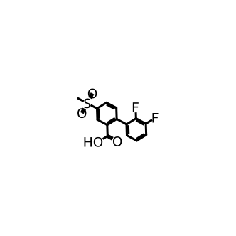 CS(=O)(=O)c1ccc(-c2cccc(F)c2F)c(C(=O)O)c1